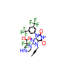 CC#CCN1c2c(n(-c3cc(C(F)(F)F)cc(C(F)(F)F)c3)c(=O)n(C)c2=O)N(OC(=O)C(F)(F)F)C1N1CCNCC1